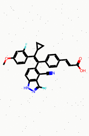 COc1ccc(C(=C(c2ccc(C=CC(=O)O)cc2)c2ccc3[nH]nc(F)c3c2C#N)C2CC2)c(F)c1